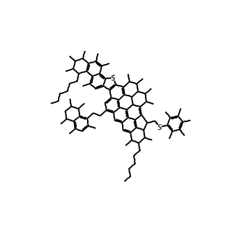 CCCCCCC1c2c(c(C)c(C)c3c2c(C)cc2c3sc3c4c5c6c(cc(CCc7c(C)cc(C)c8c7C(C)C(C)CC8C)c7cc8cc9c%10c%11c8c(c76)C6C(=C%11C(CSc7c(C)c(C)c(C)c(C)c7C)C%10C(C)C(CCCCCC)C9C)C(C)C(C)C(C(C)C4C)C56)c32)C(C)C(C)C1C